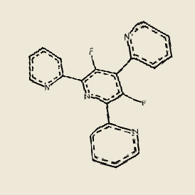 Fc1c(-c2ccccn2)nc(-c2ccccn2)c(F)c1-c1ccccn1